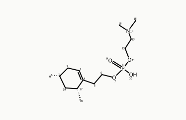 C[C@@H]1CC=C(CCOP(=O)(O)OCCN(C)C)[C@H](C)C1